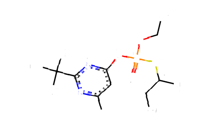 CCOP(=O)(Oc1cc(C)nc(C(C)(C)C)n1)SC(C)CC